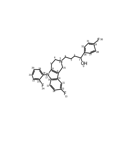 OC(CCCN1CCc2c(c3cc(F)ccc3n2-c2ccccc2F)C1)c1ccc(F)cc1